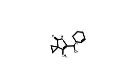 CC1=C(C(O)[C@@H]2C=CCCC2)NC(=O)C12CC2